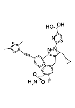 Cc1cc(C#Cc2cccc(-c3nn(-c4nc(C(O)O)cs4)c(CC4CC4)c3Cc3ccc(S(N)(=O)=O)c(F)c3)c2)c(C)s1